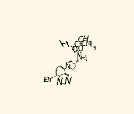 CC(C)(C)OC(=O)N(C1CC1)C1CCN(c2ccc(Br)c3ncncc23)CC1